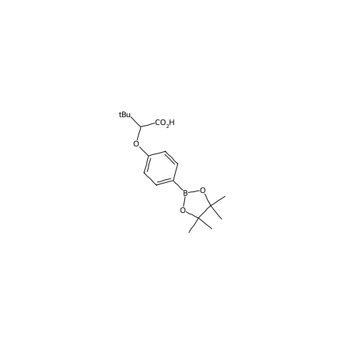 CC(C)(C)C(Oc1ccc(B2OC(C)(C)C(C)(C)O2)cc1)C(=O)O